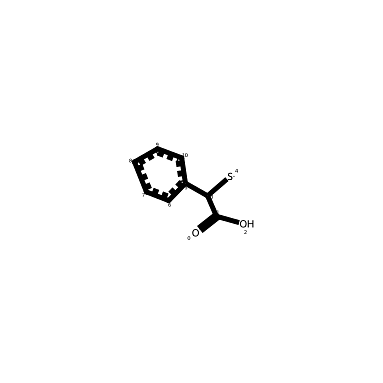 O=C(O)C([S])c1ccccc1